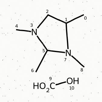 CC1CN(C)C(C)N1C.O=C(O)O